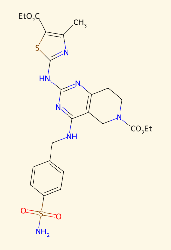 CCOC(=O)c1sc(Nc2nc3c(c(NCc4ccc(S(N)(=O)=O)cc4)n2)CN(C(=O)OCC)CC3)nc1C